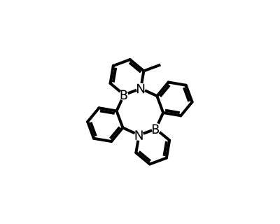 CC1=CC=CB2c3ccccc3N3C=CC=CB3c3ccccc3N21